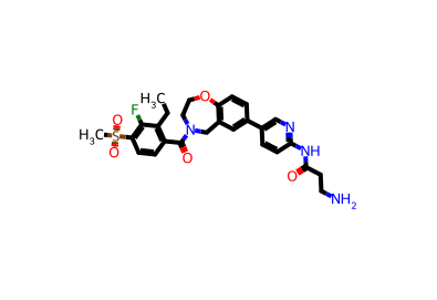 CCc1c(C(=O)N2CCOc3ccc(-c4ccc(NC(=O)CCN)nc4)cc3C2)ccc(S(C)(=O)=O)c1F